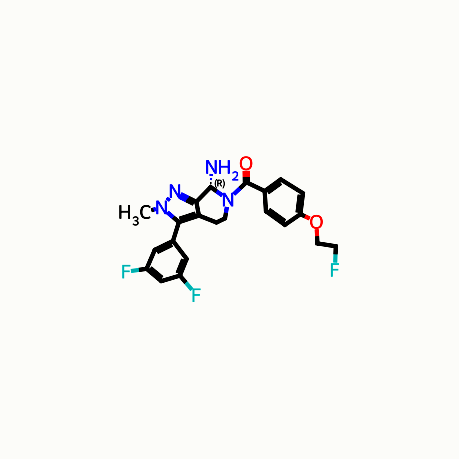 Cn1nc2c(c1-c1cc(F)cc(F)c1)CCN(C(=O)c1ccc(OCCF)cc1)[C@H]2N